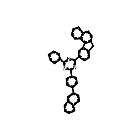 c1ccc(-c2nc(-c3ccc(-c4ccc5ccccc5c4)cc3)nc(-c3ccc4c(c3)-c3c(ccc5ccccc35)C4)n2)cc1